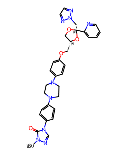 CCC(C)n1ncn(-c2ccc(N3CCN(c4ccc(OC[C@@H]5CO[C@@](Cn6nccn6)(c6ccccn6)O5)cc4)CC3)cc2)c1=O